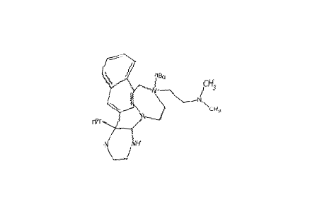 CCCC[N+]1(CCN(C)C)CCN(C2NCC[N]C2(CCC)c2ccc3ccccc3c2)CC1